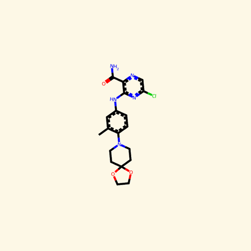 Cc1cc(Nc2nc(Cl)cnc2C(N)=O)ccc1N1CCC2(CC1)OCCO2